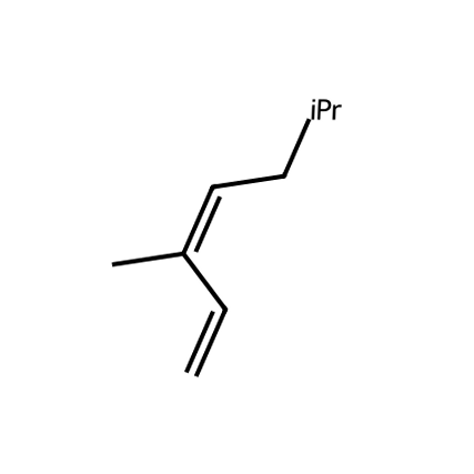 C=CC(C)=CCC(C)C